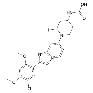 COc1cc(OC)c(-c2cn3ccc(N4CCC(NC(=O)O)CC4I)cc3n2)cc1Cl